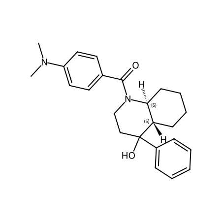 CN(C)c1ccc(C(=O)N2CCC(O)(c3ccccc3)[C@H]3CCCC[C@@H]32)cc1